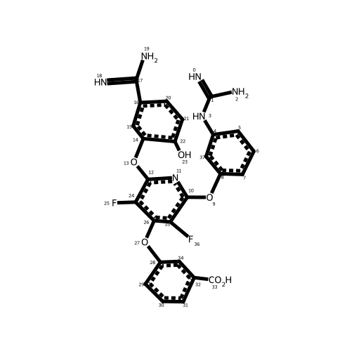 N=C(N)Nc1cccc(Oc2nc(Oc3cc(C(=N)N)ccc3O)c(F)c(Oc3cccc(C(=O)O)c3)c2F)c1